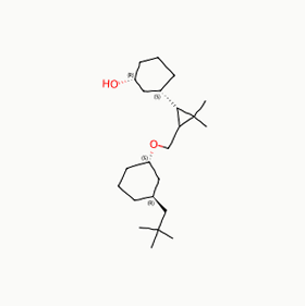 CC(C)(C)C[C@H]1CCC[C@H](OCC2C([C@H]3CCC[C@@H](O)C3)C2(C)C)C1